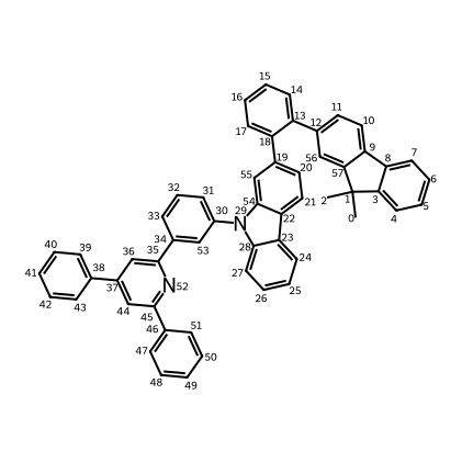 CC1(C)c2ccccc2-c2ccc(-c3ccccc3-c3ccc4c5ccccc5n(-c5cccc(-c6cc(-c7ccccc7)cc(-c7ccccc7)n6)c5)c4c3)cc21